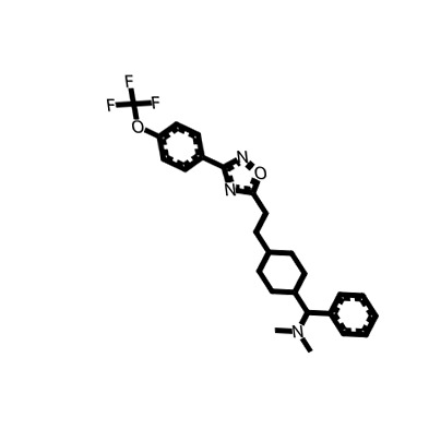 CN(C)C(c1ccccc1)C1CCC(CCc2nc(-c3ccc(OC(F)(F)F)cc3)no2)CC1